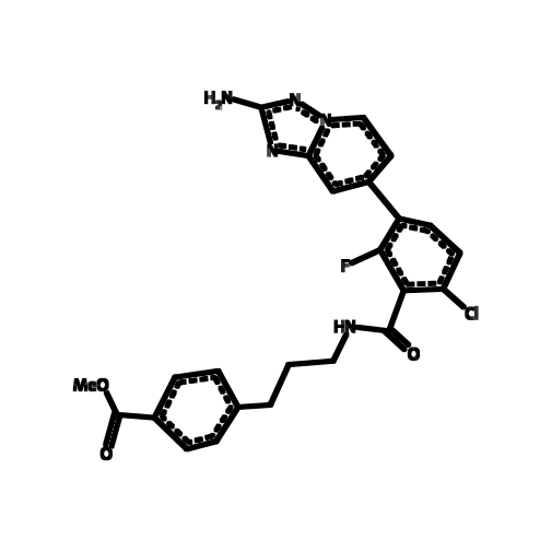 COC(=O)c1ccc(CCCNC(=O)c2c(Cl)ccc(-c3ccn4nc(N)nc4c3)c2F)cc1